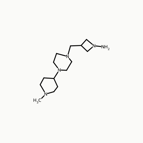 CN1CCC(N2CCN(CC3CN(N)C3)CC2)CC1